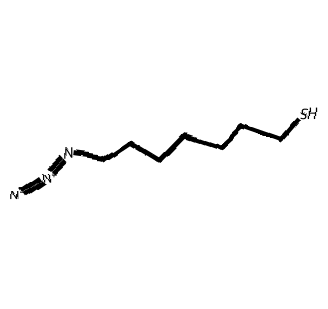 [N-]=[N+]=NCCCCCCCS